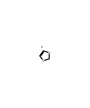 C1=COCO1.[K]